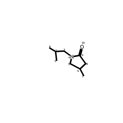 CC(C)CN1CC(C)CC1=O